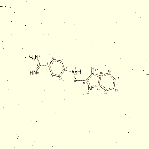 N=C(N)c1ccc([AsH]Cc2nc3ccccc3[nH]2)cc1